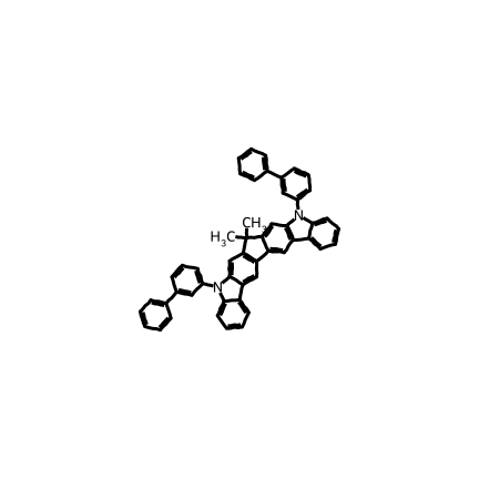 CC1(C)c2cc3c(cc2-c2cc4c5ccccc5n(-c5cccc(-c6ccccc6)c5)c4cc21)c1ccccc1n3-c1cccc(-c2ccccc2)c1